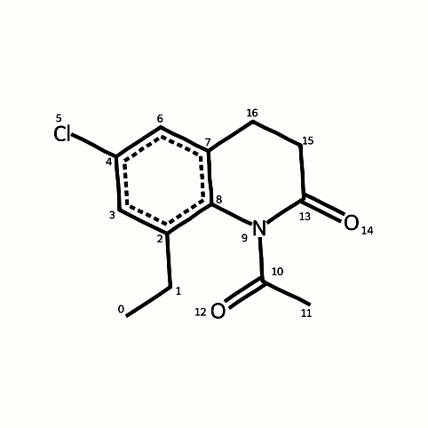 CCc1cc(Cl)cc2c1N(C(C)=O)C(=O)CC2